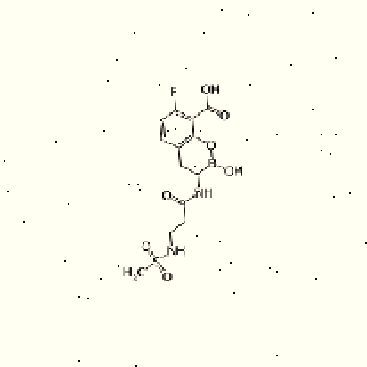 CS(=O)(=O)NCCC(=O)NC1Cc2ccc(F)c(C(=O)O)c2OB1O